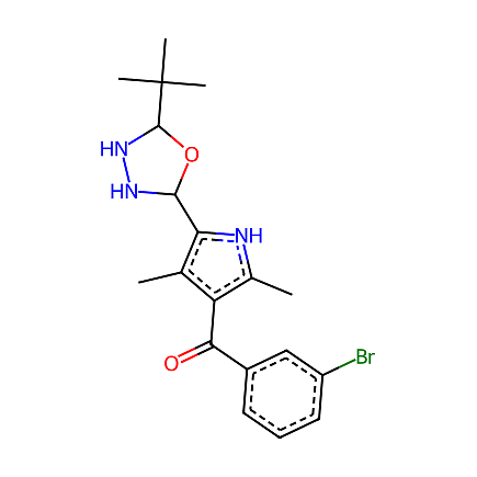 Cc1[nH]c(C2NNC(C(C)(C)C)O2)c(C)c1C(=O)c1cccc(Br)c1